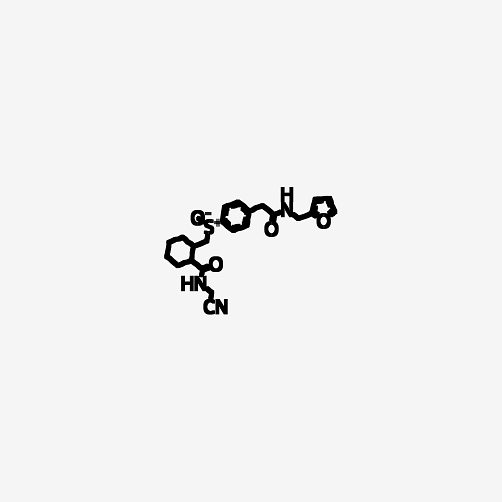 N#CCNC(=O)C1CCCCC1C[S+]([O-])c1ccc(CC(=O)NCc2ccco2)cc1